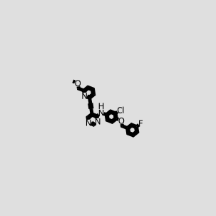 COCc1cccc(C#Cc2cncnc2Nc2ccc(OCc3cccc(F)c3)c(Cl)c2)n1